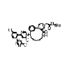 CC(C)(C)OC(=O)CN1CCN2c3cccc(c3)[C@@H](n3cnc(-c4cc(Cl)ccc4-n4cc(Cl)nn4)cc3=O)CCCCCNC(=O)[C@H]2C1